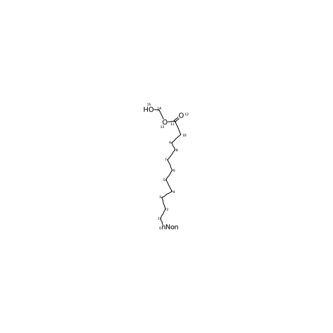 CCCCCCCCCCCCCCCCCCCC(=O)OCO